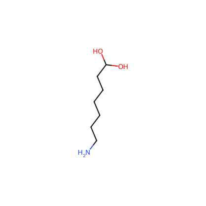 NCCCCCCC(O)O